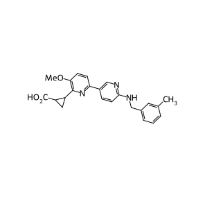 COc1ccc(-c2ccc(NCc3cccc(C)c3)nc2)nc1C1CC1C(=O)O